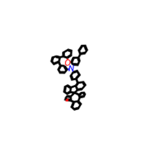 c1ccc(-c2ccc(N(c3ccc(-c4cccc5c4-c4ccccc4C54c5ccccc5-c5ccccc5-c5ccccc54)cc3)c3cccc4c3Oc3ccccc3-c3ccccc3-4)cc2)cc1